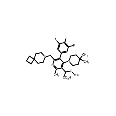 Cc1nc(CN2CCC3(CCC3)CC2)c(-c2cc(F)c(F)c(F)c2)c(N2CCC(C)(C)CC2)c1C(OC(C)(C)C)C(=O)O